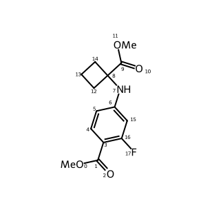 COC(=O)c1ccc(NC2(C(=O)OC)CCC2)cc1F